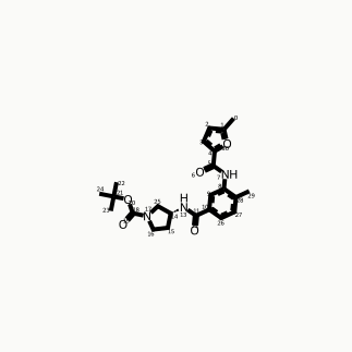 Cc1ccc(C(=O)Nc2cc(C(=O)N[C@@H]3CCN(C(=O)OC(C)(C)C)C3)ccc2C)o1